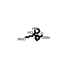 COCCCC[C@@](O)(c1cccc(C(=O)OC)c1)C1CCCNC1